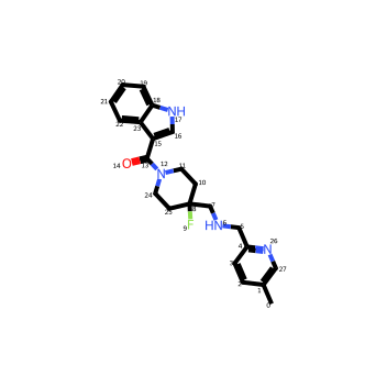 Cc1ccc(CNCC2(F)CCN(C(=O)c3c[nH]c4ccccc34)CC2)nc1